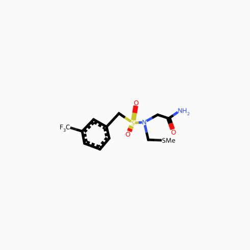 CSCN(CC(N)=O)S(=O)(=O)Cc1cccc(C(F)(F)F)c1